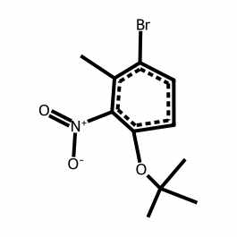 Cc1c(Br)ccc(OC(C)(C)C)c1[N+](=O)[O-]